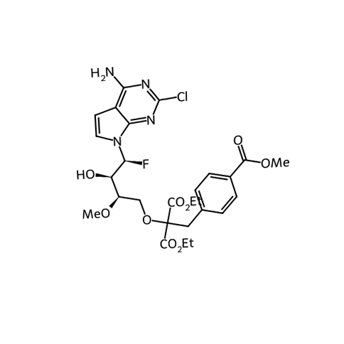 CCOC(=O)C(Cc1ccc(C(=O)OC)cc1)(OC[C@@H](OC)[C@@H](O)[C@H](F)n1ccc2c(N)nc(Cl)nc21)C(=O)OCC